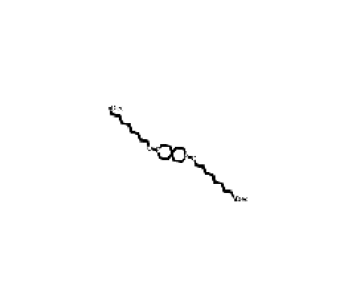 CCCCCCCCCCCCCCCCCCOP1CCC2(CC1)CCP(OCCCCCCCCCCCCCCCCCC)CC2